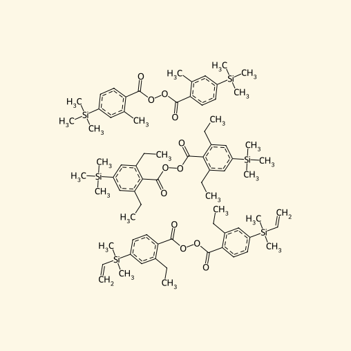 C=C[Si](C)(C)c1ccc(C(=O)OOC(=O)c2ccc([Si](C)(C)C=C)cc2CC)c(CC)c1.CCc1cc([Si](C)(C)C)cc(CC)c1C(=O)OOC(=O)c1c(CC)cc([Si](C)(C)C)cc1CC.Cc1cc([Si](C)(C)C)ccc1C(=O)OOC(=O)c1ccc([Si](C)(C)C)cc1C